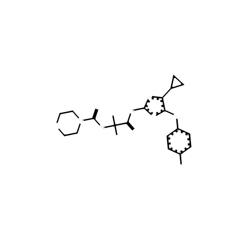 CC(C)(NC(=O)N1CCOCC1)C(=O)Nc1nc(C2CC2)c(Oc2ccc(F)cc2)s1